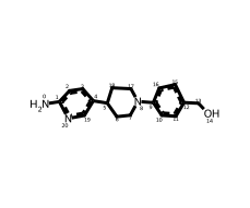 Nc1ccc(C2CCN(c3ccc(CO)cc3)CC2)cn1